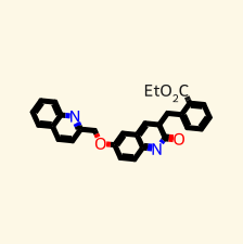 CCOC(=O)c1ccccc1CC1C=c2cc(OCc3ccc4ccccc4n3)ccc2=NC1=O